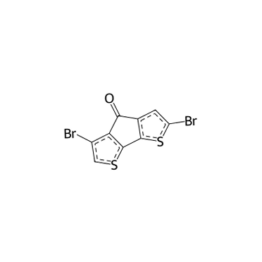 O=C1c2cc(Br)sc2-c2scc(Br)c21